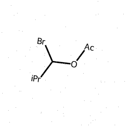 CC(=O)OC(Br)C(C)C